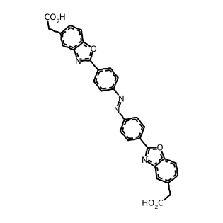 O=C(O)Cc1ccc2oc(-c3ccc(N=Nc4ccc(-c5nc6cc(CC(=O)O)ccc6o5)cc4)cc3)nc2c1